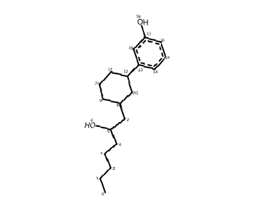 CCCCCC(O)CC1CCCC(c2cccc(O)c2)C1